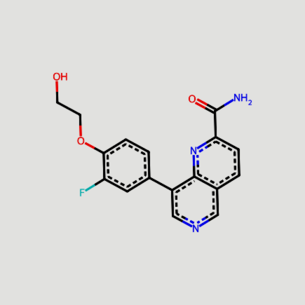 NC(=O)c1ccc2cncc(-c3ccc(OCCO)c(F)c3)c2n1